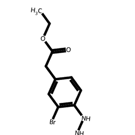 CCOC(=O)Cc1ccc(NN)c(Br)c1